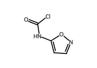 O=C(Cl)Nc1ccno1